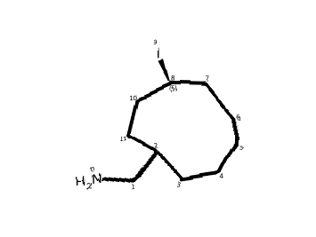 NCC1CCCCC[C@H](I)CC1